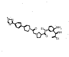 C=C(CC)C(=N)c1cc(N(CC)C(=O)C2CCN(CC(=O)N3CC=C(c4ccc(-c5ncn(C)n5)cc4)CC3)C2)ccc1N